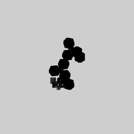 CC1(C)c2ccccc2-c2ccc(N(c3ccccc3)c3ccc(-c4ccc5c(c4)c4c6ccccc6ccc4n5-c4ccccc4)cc3)cc21